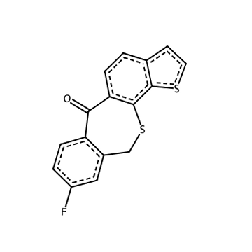 O=C1c2ccc(F)cc2CSc2c1ccc1ccsc21